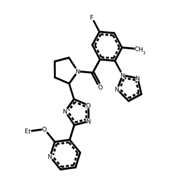 CCOc1ncccc1-c1noc(C2CCCN2C(=O)c2cc(F)cc(C)c2-n2nccn2)n1